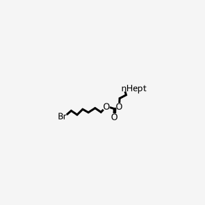 CCCCCCCCCOC(=O)OCCCCCCBr